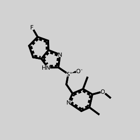 COc1c(C)cnc(C[S@+]([O-])c2nc3cc(F)ccc3[nH]2)c1C